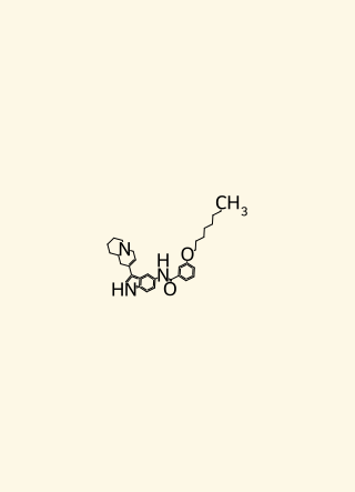 CCCCCCCCOc1cccc(C(=O)Nc2ccc3[nH]cc(C4=CCN5CCCCC5C4)c3c2)c1